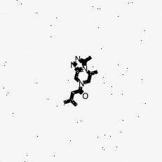 Cc1nnc2n1C(C)CN(C(=O)CC(C)C)C2